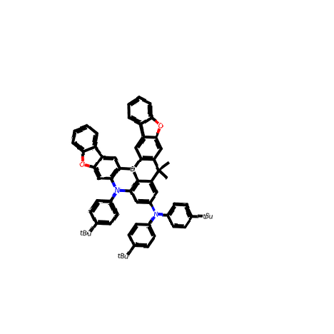 CC(C)(C)c1ccc(N(c2ccc(C(C)(C)C)cc2)c2cc3c4c(c2)C(C)(C)c2cc5oc6ccccc6c5cc2B4c2cc4c(cc2N3c2ccc(C(C)(C)C)cc2)oc2ccccc24)cc1